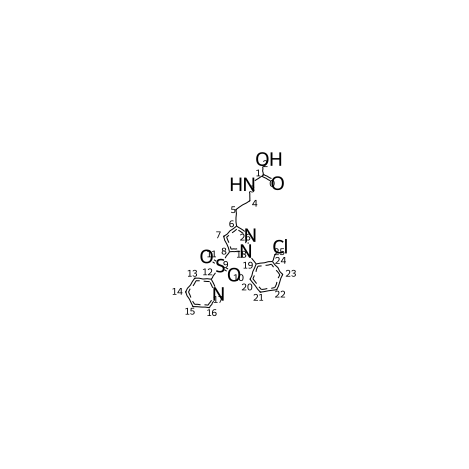 O=C(O)NCCc1cc(S(=O)(=O)c2ccccn2)n(-c2ccccc2Cl)n1